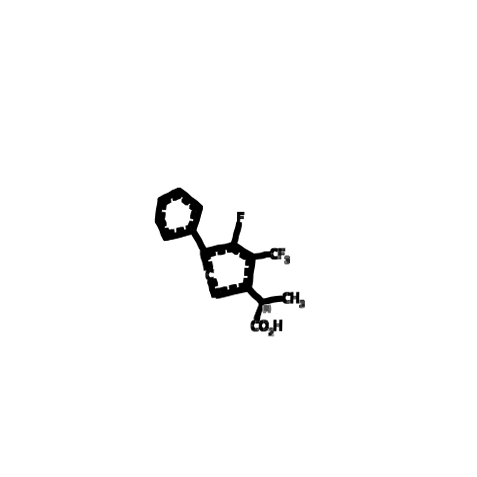 C[C@@H](C(=O)O)c1ccc(-c2ccccc2)c(F)c1C(F)(F)F